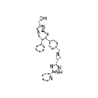 OCc1cn2cc(-c3ccccc3)c(-c3ccc(CN4CC(c5n[nH]c(-c6ccccn6)n5)C4)cc3)nc2n1